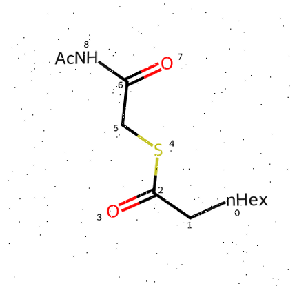 CCCCCCCC(=O)SCC(=O)NC(C)=O